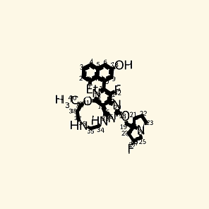 CCc1cccc2cc(O)cc(-c3nc4c5c(nc(OCC67CCCN6C[C@H](F)C7)nc5c3F)NCCNCC[C@H](C)O4)c12